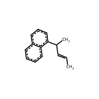 CC=CC(C)c1cccc2ccccc12